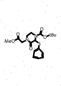 COC(=O)CN1CCN(C(=O)OC(C)(C)C)C(Sc2ccccc2)C1=O